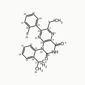 CCc1nc2c(=O)[nH]c(=O)n(-c3ccccc3C(C)C)c2nc1-c1ccccc1F